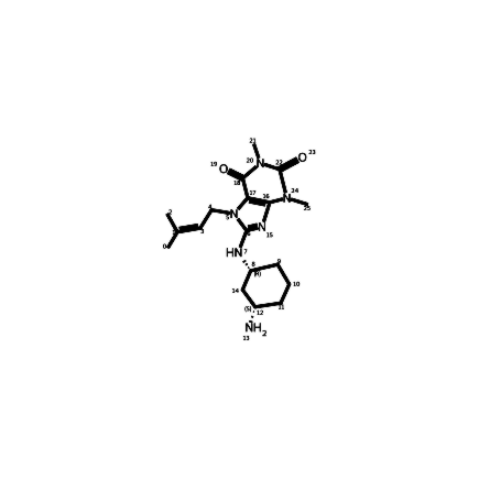 CC(C)=CCn1c(N[C@@H]2CCC[C@H](N)C2)nc2c1c(=O)n(C)c(=O)n2C